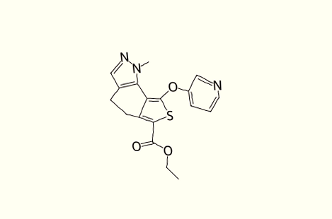 CCOC(=O)c1sc(Oc2cccnc2)c2c1CCc1cnn(C)c1-2